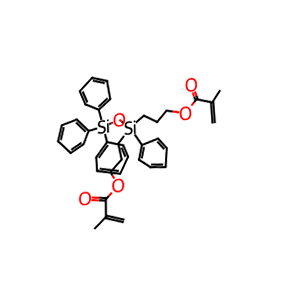 C=C(C)C(=O)OCCC[Si](CCCOC(=O)C(=C)C)(O[Si](c1ccccc1)(c1ccccc1)c1ccccc1)c1ccccc1